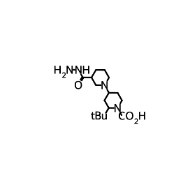 CC(C)(C)C1CC(N2CCCC(C(=O)NN)C2)CCN1C(=O)O